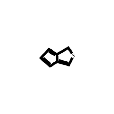 [C]1=CC2=CSCC2=C1